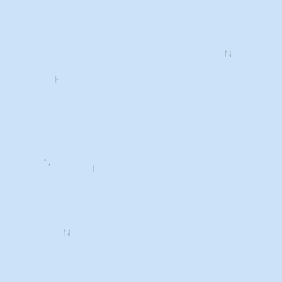 CN1CCc2cc(-c3cc(F)c(CN4Cc5cccnc5C4)c(F)c3)ccc21